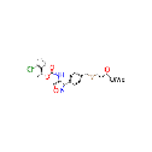 COC(=O)CCSCc1ccc(-c2nocc2NC(=O)OC(C)C2=C(Cl)CCC2)cc1